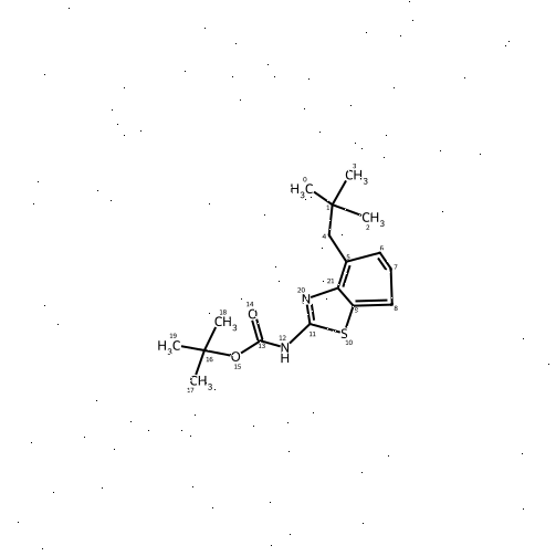 CC(C)(C)Cc1cccc2sc(NC(=O)OC(C)(C)C)nc12